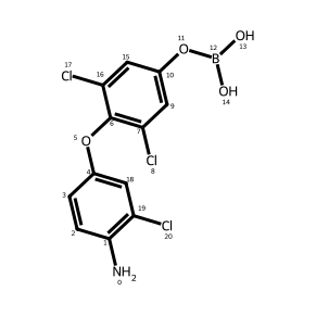 Nc1ccc(Oc2c(Cl)cc(OB(O)O)cc2Cl)cc1Cl